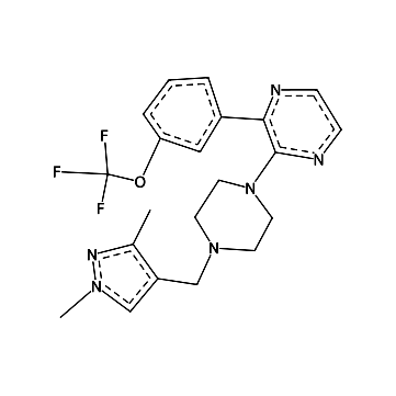 Cc1nn(C)cc1CN1CCN(c2nccnc2-c2cccc(OC(F)(F)F)c2)CC1